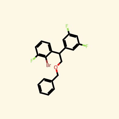 Fc1cc(F)cc(C(COCc2ccccc2)c2cccc(F)c2Br)c1